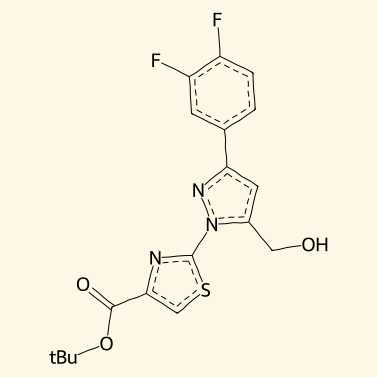 CC(C)(C)OC(=O)c1csc(-n2nc(-c3ccc(F)c(F)c3)cc2CO)n1